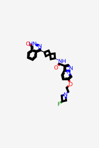 O=C(N[C@H]1CC2(C1)C[C@H](c1n[nH]c(=O)c3ccccc31)C2)c1cnn2cc(OCCN3CC(F)C3)ccc12